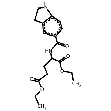 CCOC(=O)CCC(NC(=O)c1ccc2c(c1)CCN2)C(=O)OCC